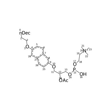 CCCCCCCCCCCCOc1ccc2cc(OCC(COP(O)OCC[N+](C)(C)C)OC(C)=O)ccc2c1